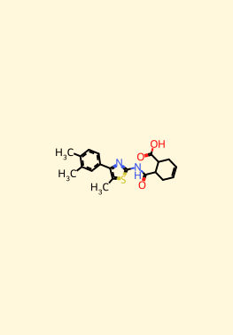 Cc1ccc(-c2nc(NC(=O)C3CC=CCC3C(=O)O)sc2C)cc1C